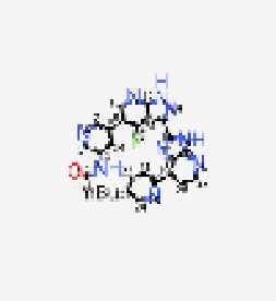 CCCCC(=O)Nc1cncc(-c2cnc3[nH]nc(-c4nc5c(-c6ccccn6)ccnc5[nH]4)c3c2F)c1